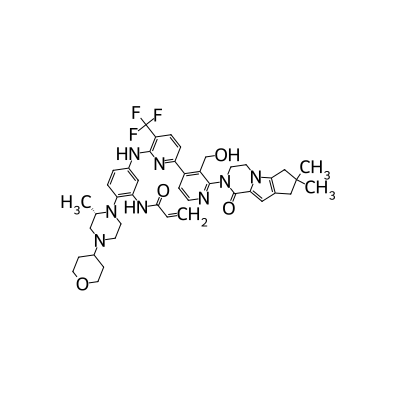 C=CC(=O)Nc1cc(Nc2nc(-c3ccnc(N4CCn5c(cc6c5CC(C)(C)C6)C4=O)c3CO)ccc2C(F)(F)F)ccc1N1CCN(C2CCOCC2)C[C@@H]1C